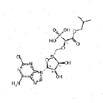 CC(C)COC(=O)[C@@H](OC[C@H]1O[C@@H](n2cnc3c(N)nc(Cl)nc32)[C@H](O)[C@@H]1O)P(=O)(O)O